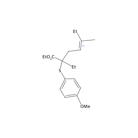 CCOC(=O)C(CC)(C/C=C(/C)CC)Sc1ccc(OC)cc1